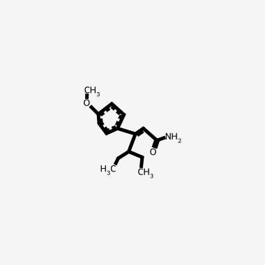 CCC(CC)C(=CC(N)=O)c1ccc(OC)cc1